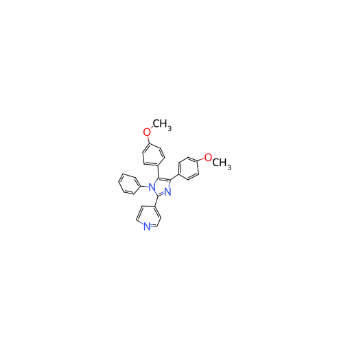 COc1ccc(-c2nc(-c3ccncc3)n(-c3ccccc3)c2-c2ccc(OC)cc2)cc1